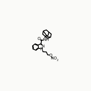 O=C(NC12CC3CC(CC(C3)C1)C2)c1nn(CCCO[N+](=O)[O-])c2ccccc12